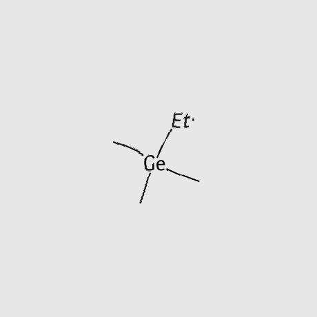 C[CH][Ge]([CH3])([CH3])[CH3]